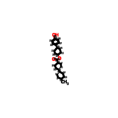 C[C@H]1CC[C@H]([C@H]2CC[C@H](C(=O)O[C@H]3CC[C@H](c4ccc(O)cc4)CC3)CC2)CC1